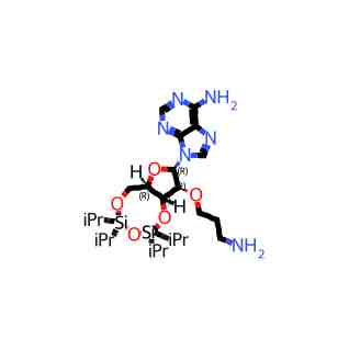 CC(C)[Si]1(C(C)C)OC[C@H]2O[C@@H](n3cnc4c(N)ncnc43)[C@H](OCCCN)[C@@H]2O[Si](C(C)C)(C(C)C)O1